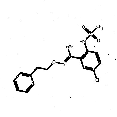 CCC/C(=N\OCCc1ccccc1)c1cc(Cl)ccc1NS(=O)(=O)C(F)(F)F